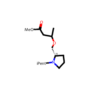 CCCC(C)N1CCC[C@H]1COC(C)CC(=O)OC